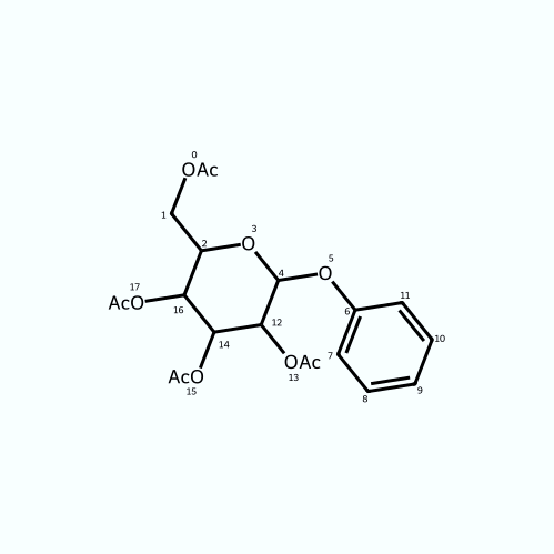 CC(=O)OCC1OC(Oc2ccccc2)C(OC(C)=O)C(OC(C)=O)C1OC(C)=O